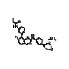 C=CC(=O)Nc1cccc(-c2c(F)ccc3cnc(Nc4ccc(N5CCOC[C@H]5CN)cc4)nc23)c1